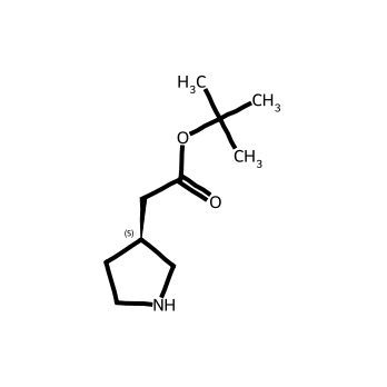 CC(C)(C)OC(=O)C[C@@H]1CCNC1